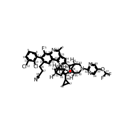 Cc1nc2c(F)c(-c3cccc(Cl)c3Cl)c(CCC#N)cc2c2c1cc([C@H]1[C@H]3C[C@H](CN(c4ncc(OC(F)F)cn4)C3)N1C(=O)C1CC1)n2[C@H]1[C@H]2CN[C@@H]1C2